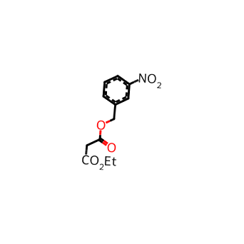 CCOC(=O)CC(=O)OCc1cccc([N+](=O)[O-])c1